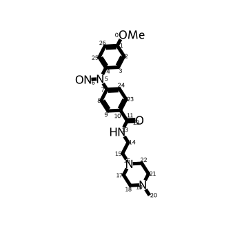 COc1ccc(N(N=O)c2ccc(C(=O)NCCN3CCN(C)CC3)cc2)cc1